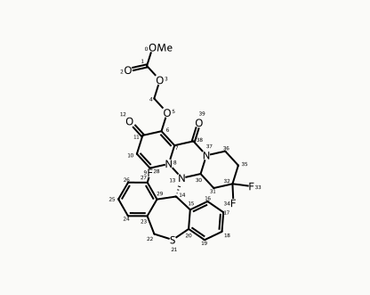 COC(=O)OCOc1c2n(ccc1=O)N([C@@H]1c3ccccc3SCc3cccc(F)c31)C1CC(F)(F)CCN1C2=O